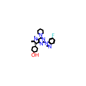 C=C1[C@H](C2CCC(O)CC2)c2nc(-n3cnc4ccc(F)cc43)nc(N3CCCCC3)c2N1C